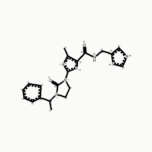 Cc1nc(N2CCN(C(C)c3ccccc3)C2=O)sc1C(=O)NCc1cncs1